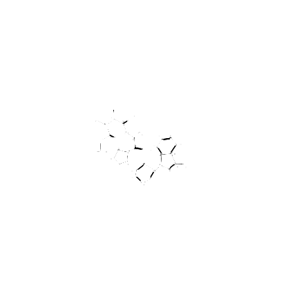 CCCCOC(=O)N(C)[C@@H](C)C(=O)N[C@H](C(=O)N1CCC[C@H]1c1cncc(-n2cc(C(=O)OCC)c3ccccc32)c1)C(C)C